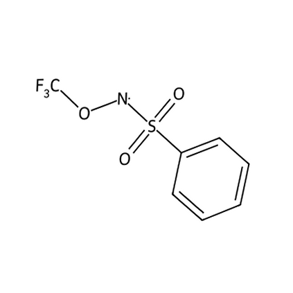 O=S(=O)([N]OC(F)(F)F)c1ccccc1